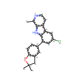 Cc1nccc2c1[nH]c1c(-c3ccc4c(c3)CC(C)(C)O4)cc(Cl)cc12